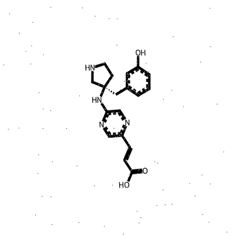 O=C(O)/C=C/c1cnc(N[C@]2(Cc3cccc(O)c3)CCNC2)cn1